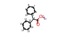 O=C(OI)C(c1ccccc1)c1ccccc1